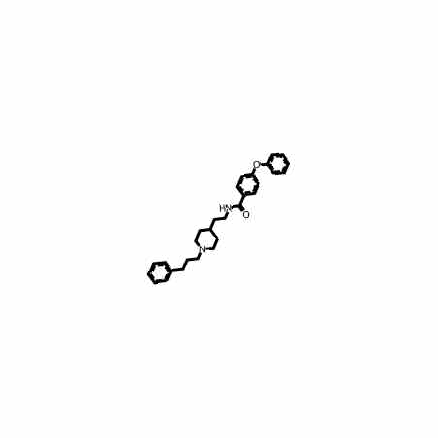 O=C(NCCC1CCN(CCCc2ccccc2)CC1)c1ccc(Oc2ccccc2)cc1